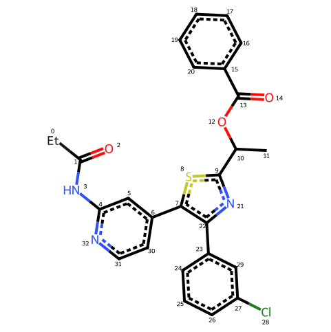 CCC(=O)Nc1cc(-c2sc(C(C)OC(=O)c3ccccc3)nc2-c2cccc(Cl)c2)ccn1